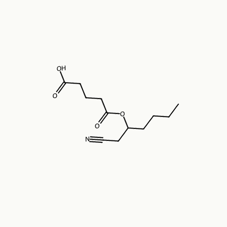 CCCCC(CC#N)OC(=O)CCCC(=O)O